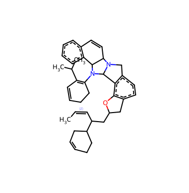 C/C=C\C(CC1Cc2ccc3c(c2O1)C1N(C3)C2C=Cc3ccccc3C2N1C1=C(C(C)C)C=CCC1)C1CC=CCC1